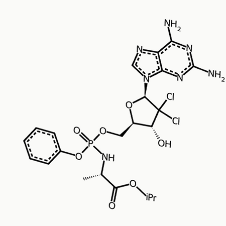 CC(C)OC(=O)[C@H](C)NP(=O)(OC[C@H]1O[C@@H](n2cnc3c(N)nc(N)nc32)C(Cl)(Cl)[C@@H]1O)Oc1ccccc1